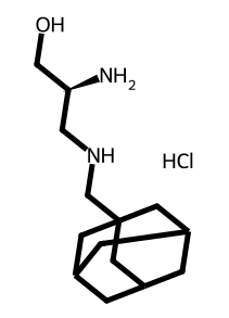 Cl.N[C@H](CO)CNCC12CC3CC(CC(C3)C1)C2